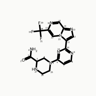 NC(=O)C1CN(c2ccnc(-c3cnc4cnc(C(F)(F)F)cn34)n2)CCN1